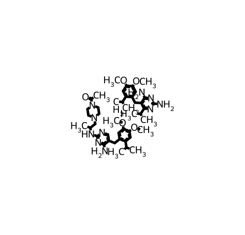 COc1cc(Cc2c(N)nc(N)nc2C(C)C)c(C(C)C)cc1OC.COc1cc(Cc2cnc(NC(C)CN3CCN(C(C)=O)CC3)nc2N)c(C(C)C)cc1OC